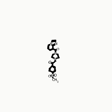 CS(=O)(=O)c1ccc(C(=O)CN2CCN(C(=O)c3cccn4ccnc34)CC2)cc1